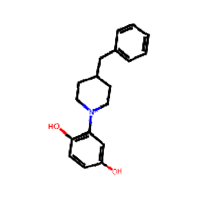 Oc1ccc(O)c(N2CCC(Cc3ccccc3)CC2)c1